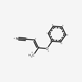 CC(=CC#N)Oc1ccccc1